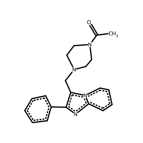 CC(=O)N1CCN(Cc2c(-c3ccccc3)nc3ccccn23)CC1